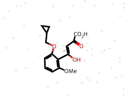 COc1cccc(OCC2CC2)c1/C(O)=C/C(=O)C(=O)O